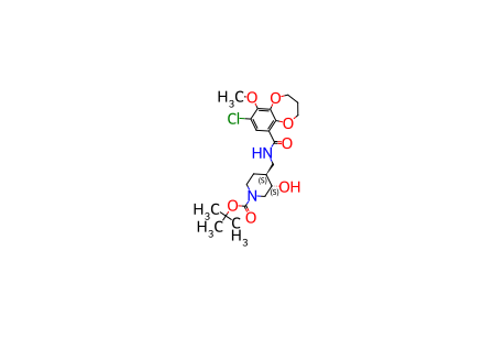 COc1c(Cl)cc(C(=O)NC[C@@H]2CCN(C(=O)OC(C)(C)C)C[C@H]2O)c2c1OCCCO2